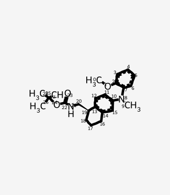 COc1ccccc1N(C)c1ccc2c(c1)CCC[C@H]2CNC(=O)OC(C)(C)C